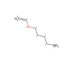 C=COCCCC[SiH3]